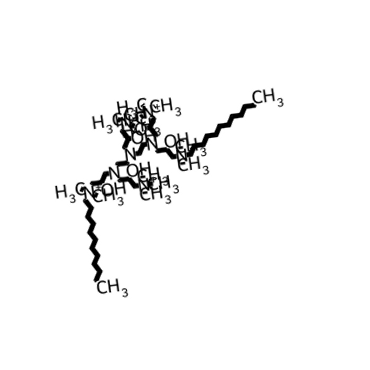 CCCCCCCCCCCC[N+](C)(C)CC(O)CN(CCN(CCN(CC(O)C[N+](C)(C)C)CC(O)C[N+](C)(C)CCCCCCCCCCCC)CC(O)C[N+](C)(C)C)CC(O)C[N+](C)(C)C